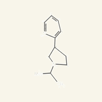 CSC(C)N1CCC(c2ccccn2)C1